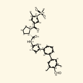 Cc1cc(-c2cccc(-c3csc(NC(=O)[C@@H]4CCCN4C(=O)c4cc(C)n(S(C)(=O)=O)c4)n3)c2)cc(C)c1C=O